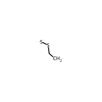 [CH2]CS[S]